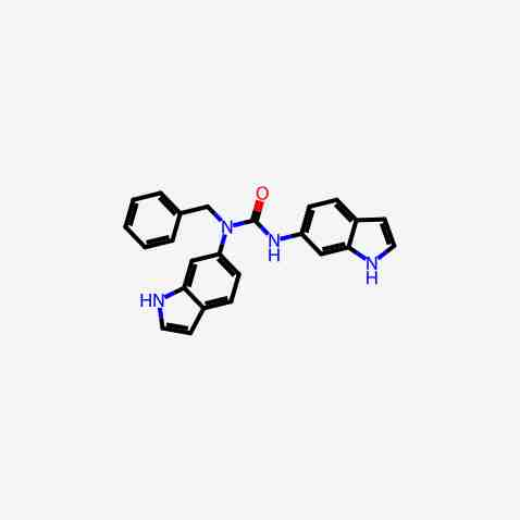 O=C(Nc1ccc2cc[nH]c2c1)N(Cc1ccccc1)c1ccc2cc[nH]c2c1